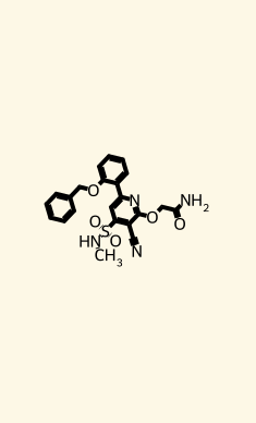 CNS(=O)(=O)c1cc(-c2ccccc2OCc2ccccc2)nc(OCC(N)=O)c1C#N